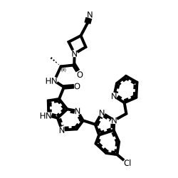 C[C@@H](NC(=O)c1c[nH]c2ncc(-c3nn(Cc4ccccn4)c4cc(Cl)ccc34)nc12)C(=O)N1CC(C#N)C1